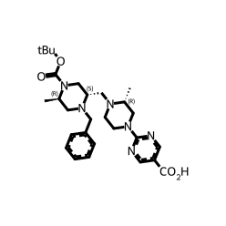 C[C@@H]1CN(c2ncc(C(=O)O)cn2)CCN1C[C@H]1CN(C(=O)OC(C)(C)C)[C@H](C)CN1Cc1ccccc1